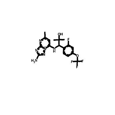 Cc1cc(NC(c2ccc(OC(F)(F)F)cc2F)C(C)(C)O)n2nc(N)nc2n1